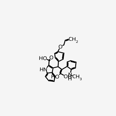 C=CCOc1ccc(C(C(=C(O)O)c2ccccc2NC)c2c(C(=O)O)[nH]c3ccccc23)cc1